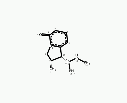 C[C@@H]1Cn2c(cccc2=O)[C@@H]1P(P)PP